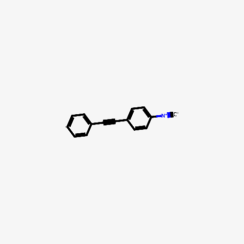 [C-]#[N+]c1ccc(C#Cc2cc[c]cc2)cc1